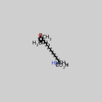 CC1=C(CCCCCCCCCCCCCCCC(C)NC(=O)O)C(C)(C)CCC1=O